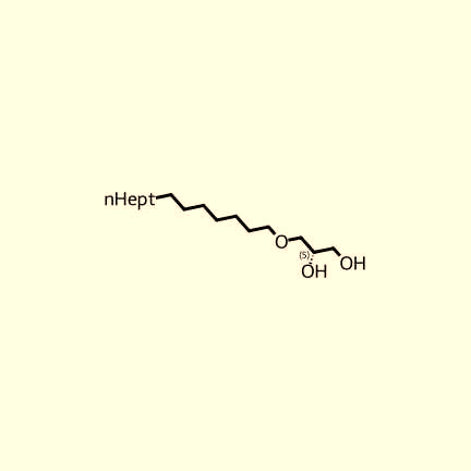 CCCCCCCCCCCCCCOC[C@@H](O)CO